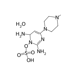 CN1CCN(C2=CC(N)N(OS(=O)(=O)O)C(N)=N2)CC1.O